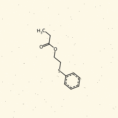 CCC(=O)OCCSc1ccccc1